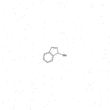 CC(C)(C)C1[C]=Cc2ccccc21